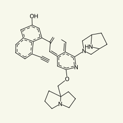 C#Cc1cccc2cc(O)cc(C(=C)/C=c3/cc(OCC45CCCN4CCC5)nc(N4CC5CCC(C4)N5)/c3=C/C)c12